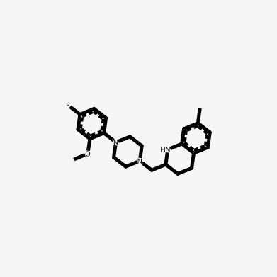 COc1cc(F)ccc1N1CCN(CC2CCc3ccc(C)cc3N2)CC1